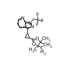 CC1(C)OB(C2CC2c2nn(CC(F)(F)F)c3ncccc23)OC1(C)C